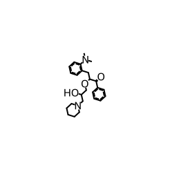 CN(C)c1ccccc1CC(OCC(O)CN1CCCCC1)C(=O)c1ccccc1